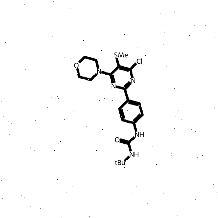 CSc1c(Cl)nc(-c2ccc(NC(=O)NC(C)(C)C)cc2)nc1N1CCOCC1